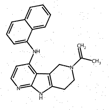 C=C(C)N1CCc2[nH]c3nccc(Nc4cccc5ccccc45)c3c2C1